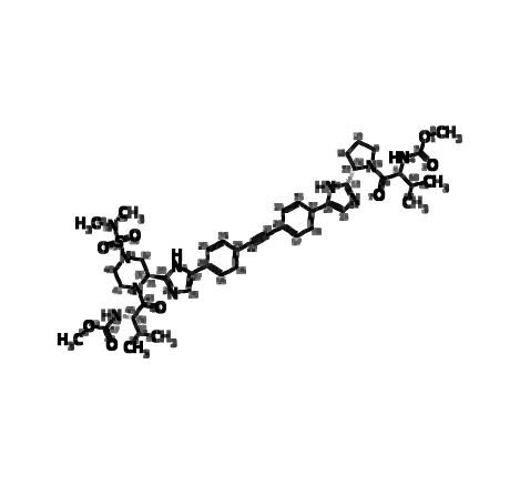 COC(=O)NC(C(=O)N1CCC[C@H]1c1ncc(-c2ccc(C#Cc3ccc(-c4cnc([C@@H]5CN(S(=O)(=O)N(C)C)CCN5C(=O)[C@@H](NC(=O)OC)C(C)C)[nH]4)cc3)cc2)[nH]1)C(C)C